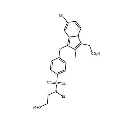 CCN(CCOC)S(=O)(=O)c1ccc(Sc2c(C)c(CC(=O)O)n3ccc(C#N)cc23)cc1